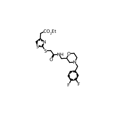 CCOC(=O)Cc1csc(SCC(=O)NCC2CN(Cc3ccc(F)c(F)c3)CCO2)n1